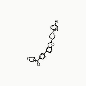 CCc1cnc(N2CCC(C3Cc4cc(-c5ccc(C(=O)N6CCOCC6)cc5)ccc4O3)CC2)nc1